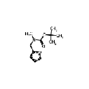 CN(Cc1ccco1)C(=O)OC(C)(C)C